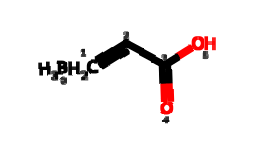 B.C=CC(=O)O